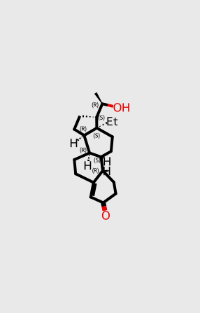 CC[C@]12CC[C@H]3[C@@H](CCC4=CC(=O)CC[C@@H]43)[C@H]1CC[C@@H]2[C@@H](C)O